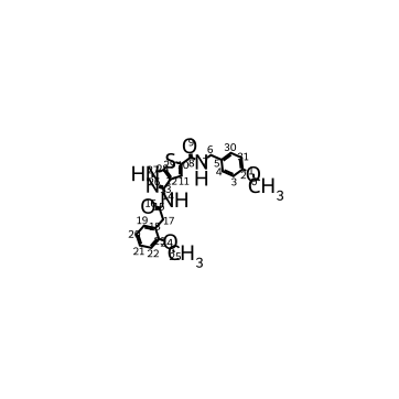 COc1ccc(CNC(=O)c2cc3c(NC(=O)Cc4ccccc4OC)n[nH]c3s2)cc1